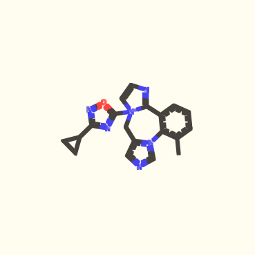 Cc1cccc2c1-n1cncc1C[N+]1(c3nc(C4CC4)no3)C=CN=C21